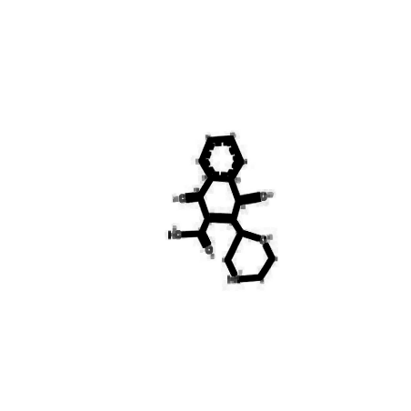 O=C(O)C1=C(C2CNCCO2)C(=O)c2ccccc2C1=O